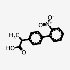 CC(C(=O)O)c1ccc(-c2ccccc2[N+](=O)[O-])cc1